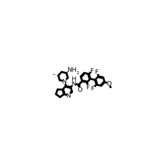 COc1cc(F)c(-c2c(F)ccc(C(=O)Nc3cnc4c(c3N3C[C@H](C)C[C@H](N)C3)CCC4)c2F)c(F)c1